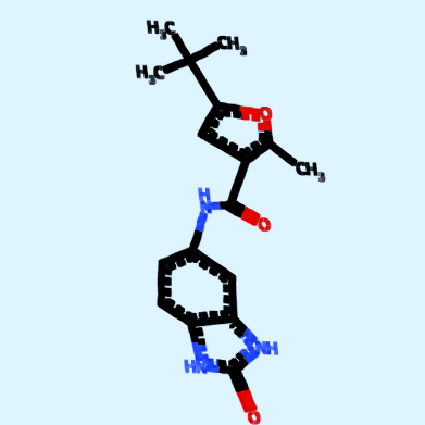 Cc1oc(C(C)(C)C)cc1C(=O)Nc1ccc2[nH]c(=O)[nH]c2c1